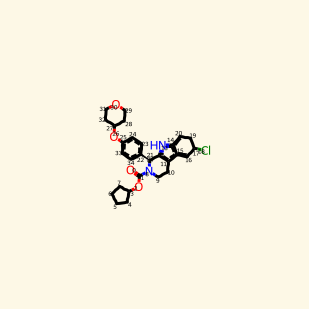 O=C(OC1CCCC1)N1CCc2c([nH]c3c2=CC(Cl)CC=3)[C@@H]1c1ccc(OC2CCOCC2)cc1